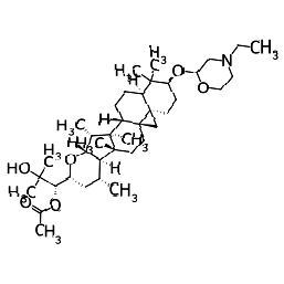 CCN1CCOC(O[C@H]2CC[C@]34C[C@]35CC[C@]3(C)[C@@H]6[C@H](O[C@@H]([C@H](OC(C)=O)C(C)(C)O)C[C@H]6C)[C@H](C)[C@@]3(C)[C@@H]5CC[C@H]4C2(C)C)C1